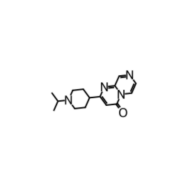 CC(C)N1CCC(c2cc(=O)n3ccncc3n2)CC1